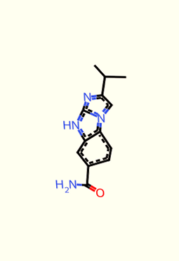 CC(C)c1cn2c(n1)[nH]c1cc(C(N)=O)ccc12